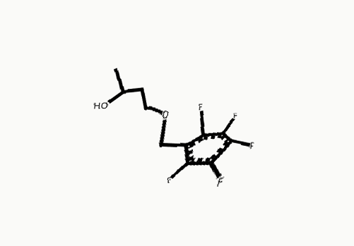 CC(O)CCOCc1c(F)c(F)c(F)c(F)c1F